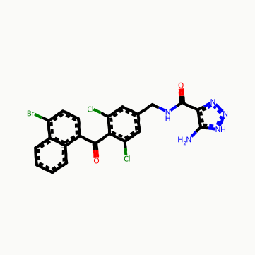 Nc1[nH]nnc1C(=O)NCc1cc(Cl)c(C(=O)c2ccc(Br)c3ccccc23)c(Cl)c1